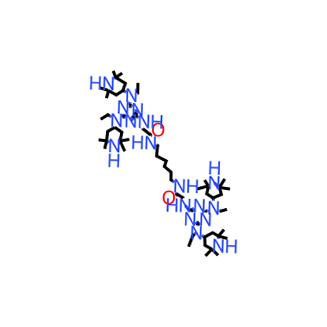 CCN(c1nc(NCC(=O)NCCCCCCNC(=O)CNc2nc(N(CC)C3CC(C)(C)NC(C)(C)C3)nc(N(CC)C3CC(C)(C)NC(C)(C)C3)n2)nc(N(CC)C2CC(C)(C)NC(C)(C)C2)n1)C1CC(C)(C)NC(C)(C)C1